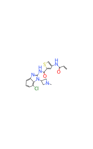 C=CC(=O)Nc1csc(C(=O)Nc2nc3cccc(Cl)c3n2C2CN(C)C2)c1